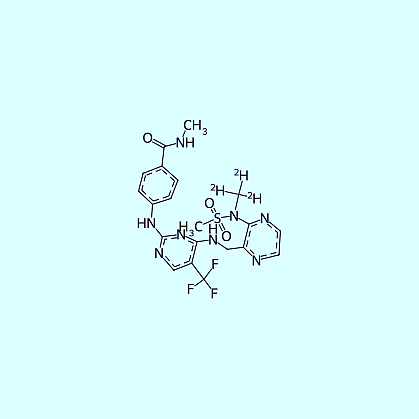 [2H]C([2H])([2H])N(c1nccnc1CNc1nc(Nc2ccc(C(=O)NC)cc2)ncc1C(F)(F)F)S(C)(=O)=O